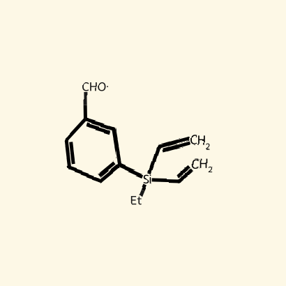 C=C[Si](C=C)(CC)c1cccc([C]=O)c1